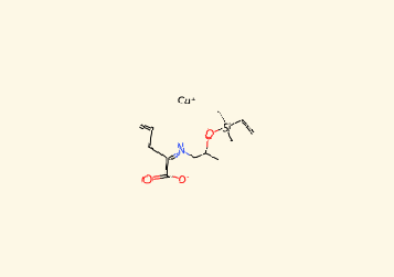 C=CCC(=NCC(C)O[Si](C)(C)C=C)C(=O)[O-].[Cu+]